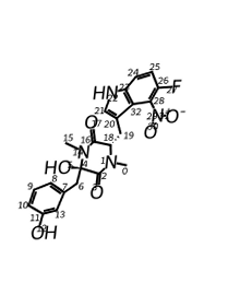 CN1C(=O)[C@](O)(Cc2cccc(O)c2)N(C)C(=O)[C@@H]1Cc1c[nH]c2ccc(F)c([N+](=O)[O-])c12